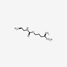 C=CCNC(=O)OCCCC(=C)C(=O)O